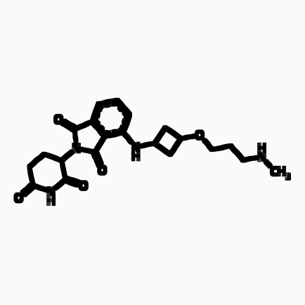 CNCCCOC1CC(Nc2cccc3c2C(=O)N(C2CCC(=O)NC2=O)C3=O)C1